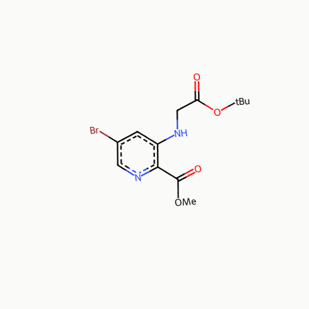 COC(=O)c1ncc(Br)cc1NCC(=O)OC(C)(C)C